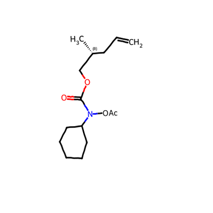 C=CC[C@@H](C)COC(=O)N(OC(C)=O)C1CCCCC1